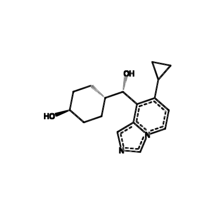 O[C@H](c1c(C2CC2)ccn2cncc12)[C@H]1CC[C@H](O)CC1